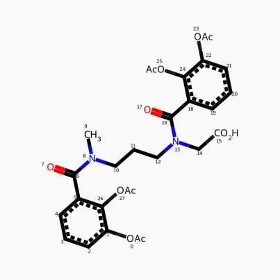 CC(=O)Oc1cccc(C(=O)N(C)CCCN(CC(=O)O)C(=O)c2cccc(OC(C)=O)c2OC(C)=O)c1OC(C)=O